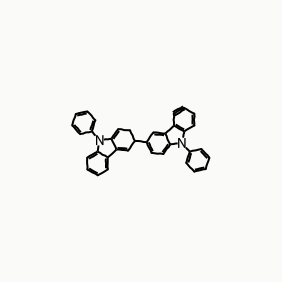 c1ccc2c(c#1)c1cc(C3C=c4c(n(-c5ccccc5)c5ccccc45)=CC3)ccc1n2-c1ccccc1